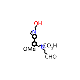 COc1ccc(-c2ccc3c(c2)CCN3CCCO)cc1CCN(CCCCC=O)C(=O)O